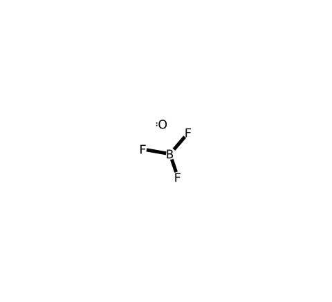 FB(F)F.[O]